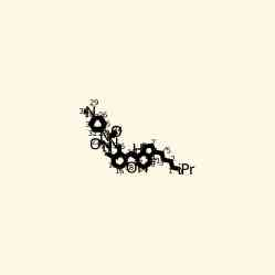 CC(C)CCC[C@@H](C)C1CC[C@H]2/C(=C/C3C4=C(CC[C@@H]3O)Cn3c(=O)n(-c5ccc(N(C)C)cc5)c(=O)n3C4)CCC[C@]12C